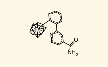 NC(=O)c1ccnc(-c2ccccc2[C]23[CH]4[CH]5[CH]6[CH]2[Fe]56432789[CH]3[CH]2[CH]7[CH]8[CH]39)c1